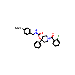 COc1ccc(CNC(=O)OC2(c3ccccc3)CCN(C(=O)c3ccccc3F)CC2)cc1